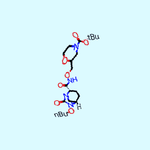 CCCCON1C(=O)N2C[C@@H]1CC[C@H]2C(=O)NOCC1CN(C(=O)OC(C)(C)C)CCO1